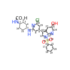 O=C(O)N[C@H]1CC[C@H](Nc2cc(-c3cn(S(=O)(=O)c4ccccc4)c4ncc(O)cc34)cc(Cl)n2)CC1